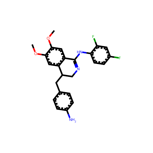 COc1cc2c(cc1OC)C(Cc1ccc(N)cc1)CN=C2Nc1ccc(F)cc1F